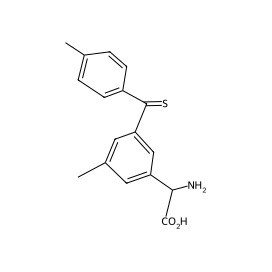 Cc1ccc(C(=S)c2cc(C)cc(C(N)C(=O)O)c2)cc1